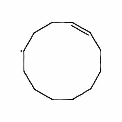 [CH]1CCC=CCCCCCCC1